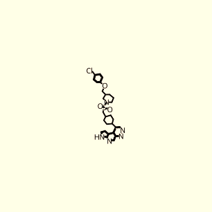 O=S(=O)(CC1CCC(c2cnnc3cnc4[nH]ccc4c23)CC1)N1CCCC(COc2ccc(Cl)cc2)C1